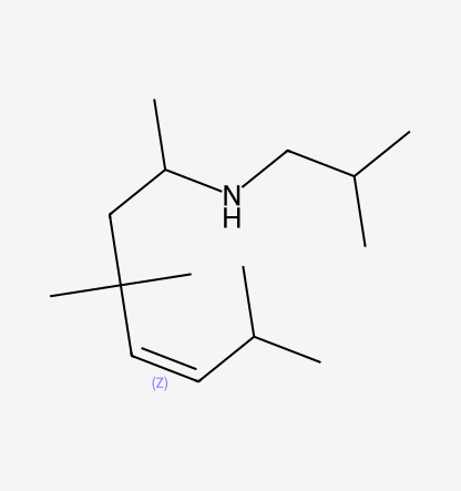 CC(C)/C=C\C(C)(C)CC(C)NCC(C)C